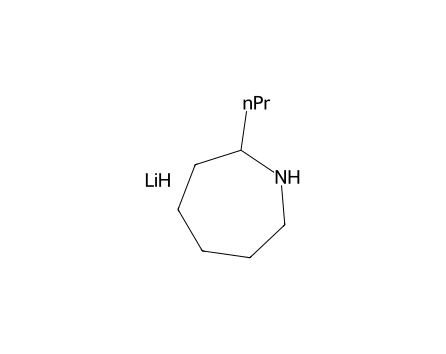 [CH2]CCC1CCCCCN1.[LiH]